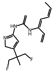 C=C/C(=C\C=C/C)NC(=C)NC1=NCC(C(C)(CF)CF)=C1